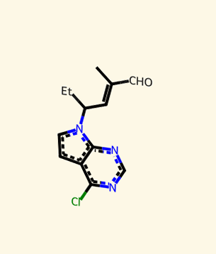 CCC(/C=C(\C)C=O)n1ccc2c(Cl)ncnc21